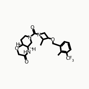 Cc1c(COC2CN(C(=O)N3CC[C@@H]4OCC(=O)N[C@@H]4C3)C2C)cccc1C(F)(F)F